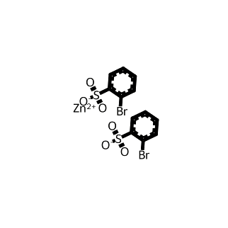 O=S(=O)([O-])c1ccccc1Br.O=S(=O)([O-])c1ccccc1Br.[Zn+2]